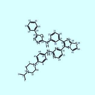 CC(C)N1CCN(c2ccc(Nc3nccc(-c4c(-c5cccc(Nc6nnc(-c7ccccc7)o6)c5)nc5sccn45)n3)cc2)CC1